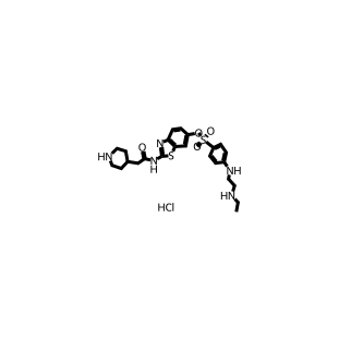 CCNCCNc1ccc(S(=O)(=O)Oc2ccc3nc(NC(=O)CC4CCNCC4)sc3c2)cc1.Cl